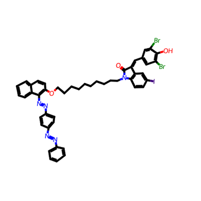 O=C1C(=Cc2cc(Br)c(O)c(Br)c2)c2cc(I)ccc2N1CCCCCCCCCCOc1ccc2ccccc2c1N=Nc1ccc(/N=N/c2ccccc2)cc1